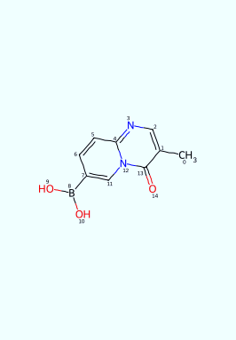 Cc1cnc2ccc(B(O)O)cn2c1=O